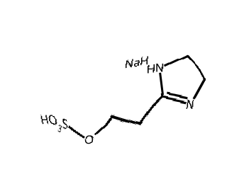 O=S(=O)(O)OCCC1=NCCN1.[NaH]